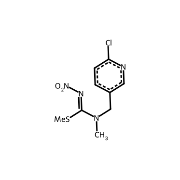 CSC(=N[N+](=O)[O-])N(C)Cc1ccc(Cl)nc1